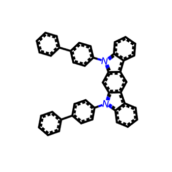 c1ccc(-c2ccc(-n3c4ccccc4c4cc5c6ccccc6n(-c6ccc(-c7ccccc7)cc6)c5cc43)cc2)cc1